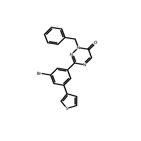 O=c1cnc(-c2cc(Br)cc(-c3ccsc3)c2)nn1Cc1ccccc1